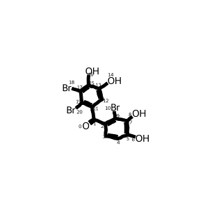 O=C(c1ccc(O)c(O)c1Br)c1cc(O)c(O)c(Br)c1Br